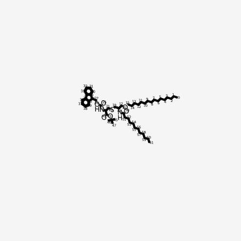 CCCCCCCCCCCCCCCCOCC(CSCC(NC(=O)OCC1c2ccccc2-c2ccccc21)C(=O)OC(C)(C)C)NC(=O)CCCCCCCCCCC